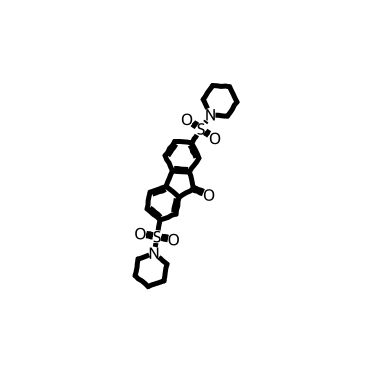 O=C1c2cc(S(=O)(=O)N3CCCCC3)ccc2-c2ccc(S(=O)(=O)N3CCCCC3)cc21